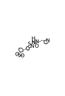 CS(=O)(=O)c1cccc(-c2ccc3nc(NC(=O)NCCc4cccnc4)sc3c2)c1